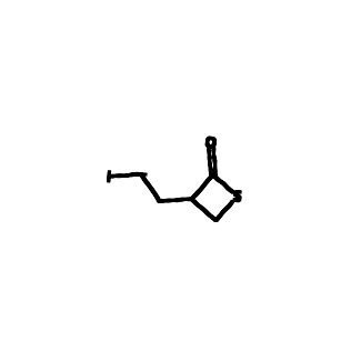 O=C1SCC1C[CH]I